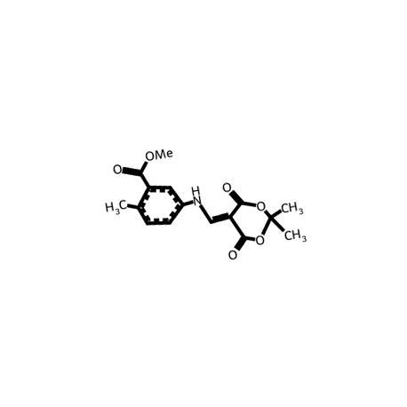 COC(=O)c1cc(NC=C2C(=O)OC(C)(C)OC2=O)ccc1C